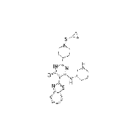 O=c1[nH]c(C2CCN(SC3CC3)CC2)nc(NC2CCCNC2)c1-c1nc2ccccc2s1